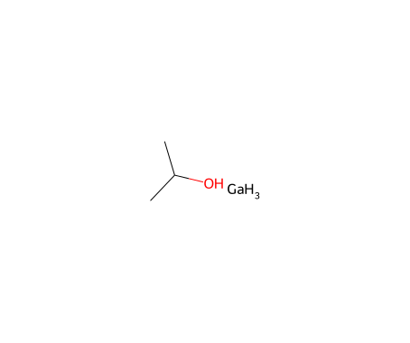 CC(C)O.[GaH3]